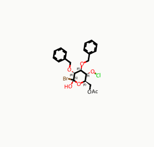 CC(=O)OC[C@H]1O[C@](O)(Br)[C@H](OCc2ccccc2)[C@@H](OCc2ccccc2)[C@@H]1OCl